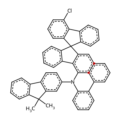 CC1(C)c2ccccc2-c2ccc(N(c3ccccc3-c3ccccc3)c3cccc4c3-c3ccccc3C43c4ccccc4-c4c(Cl)cccc43)cc21